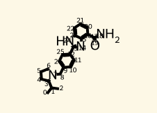 CC(C)C1CCCN1Cc1ccc(-c2nc3c(C(N)=O)cccc3[nH]2)cc1